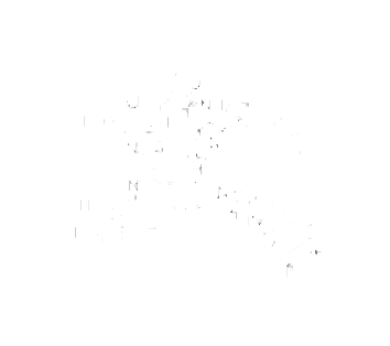 COc1ccc2c(O[C@@H]3C[C@H]4C(=O)N[C@]5(C(=O)NS(=O)(=O)C6(C)CC6)C[C@H]5/C=C\CCCCC[C@H](Nc5ccc(F)c(F)c5)C(=O)N4C3)cc(-c3nc(C(C)C)cs3)nc2c1C